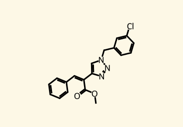 COC(=O)C(=Cc1ccccc1)c1cn(Cc2cccc(Cl)c2)nn1